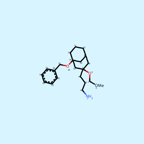 COCOC1(CCCN)CC2CCCC(OCc3ccccc3)(C2)C1